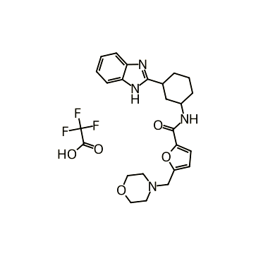 O=C(NC1CCCC(c2nc3ccccc3[nH]2)C1)c1ccc(CN2CCOCC2)o1.O=C(O)C(F)(F)F